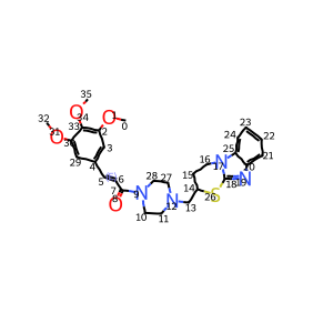 COc1cc(/C=C/C(=O)N2CCN(CC3CCn4c(nc5ccccc54)S3)CC2)cc(OC)c1OC